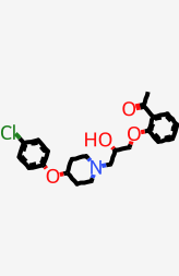 CC(=O)c1ccccc1OCC(O)CN1CCC(Oc2ccc(Cl)cc2)CC1